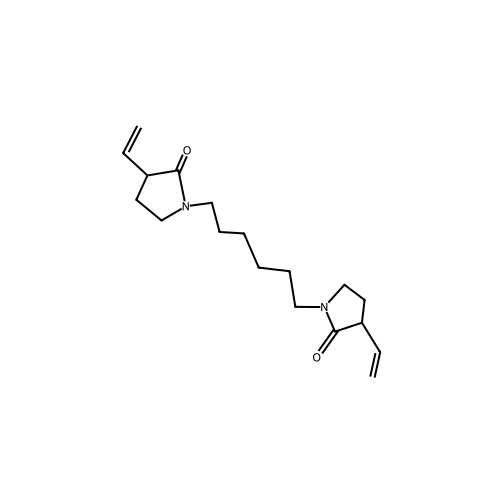 C=CC1CCN(CCCCCCN2CCC(C=C)C2=O)C1=O